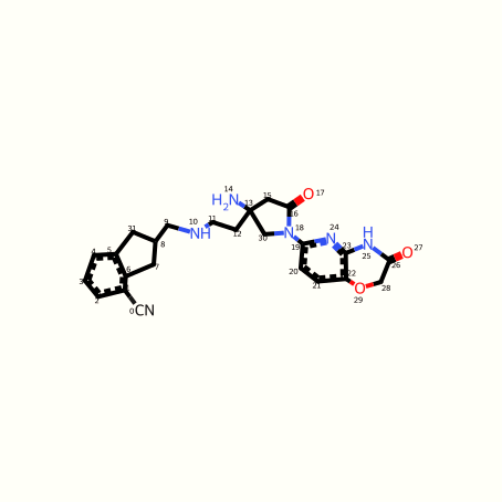 N#Cc1cccc2c1CC(CNCCC1(N)CC(=O)N(c3ccc4c(n3)NC(=O)CO4)C1)C2